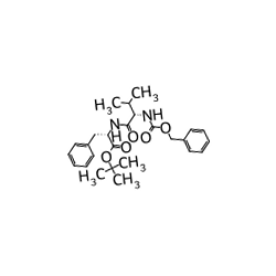 CC(C)[C@H](NC(=O)OCc1ccccc1)C(=O)N[C@@H](Cc1ccccc1)C(=O)OC(C)(C)C